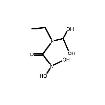 CCN(C(=O)N(O)O)C(O)O